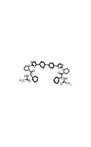 CC(=O)N[C@H](C(=O)N1CCC[C@H]1c1ncc(-c2ccc(-c3ccc(-c4cnc([C@@H]5CCCN5C(=O)[C@H](NC(C)=O)c5ccccc5)s4)cc3)cc2)s1)c1ccccc1